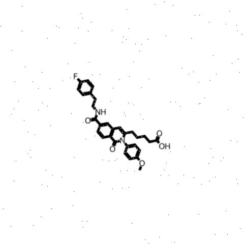 COc1ccc(-n2c(CCCCC(=O)O)cc3cc(C(=O)NCCc4ccc(F)cc4)ccc3c2=O)cc1